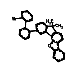 CC1(C)c2ccc(-c3ccccc3-c3ccccc3Br)cc2-c2c1ccc1c2oc2ccccc21